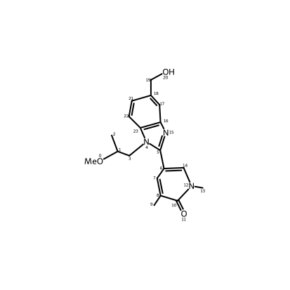 COC(C)Cn1c(-c2cc(C)c(=O)n(C)c2)nc2cc(CO)ccc21